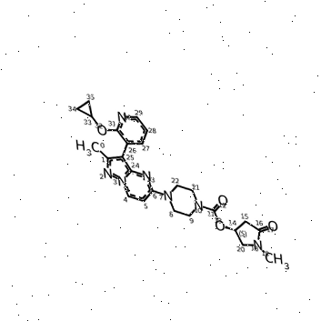 Cc1nn2ccc(N3CCN(C(=O)O[C@H]4CC(=O)N(C)C4)CC3)nc2c1-c1cccnc1OC1CC1